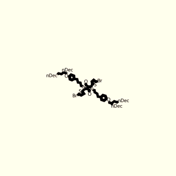 CCCCCCCCCCCCC(CCCCCCCCCC)COc1ccc(CCCCN2C(=O)C3=C(c4ccc(Br)s4)N(CCCCc4ccc(OCC(CCCCCCCCCC)CCCCCCCCCCCC)cc4)C(=O)C3=C2c2ccc(Br)s2)cc1